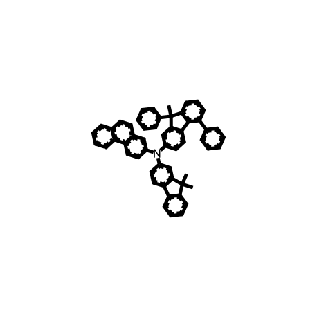 CC1(C)c2ccccc2-c2ccc(N(c3ccc4c(c3)C(C)(c3ccccc3)c3cccc(-c5ccccc5)c3-4)c3ccc4c(ccc5ccccc54)c3)cc21